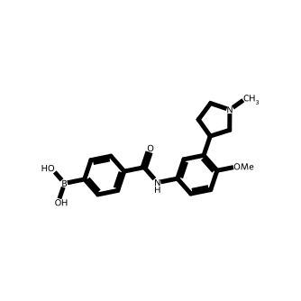 COc1ccc(NC(=O)c2ccc(B(O)O)cc2)cc1C1CCN(C)C1